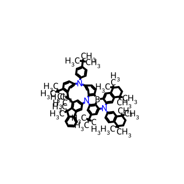 CC(C)(C)c1ccc(N2c3ccc4c(c3)N(c3cc5c(c(c3)C(C)(C)c3cc2ccc3C(C)(C)C)C(C)(C)c2ccccc2-5)c2cc(C(C)(C)C)cc3c2B4c2cc4c(cc2N3c2ccc3c(c2)C(C)(C)CCC3(C)C)C(C)(C)CCC4(C)C)cc1